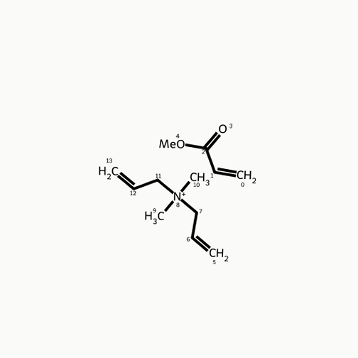 C=CC(=O)OC.C=CC[N+](C)(C)CC=C